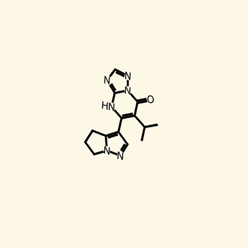 CC(C)c1c(-c2cnn3c2CCC3)[nH]c2ncnn2c1=O